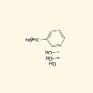 CO.CO.Cl.Cl.O=Cc1ccccc1